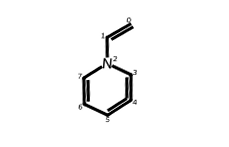 C=CN1C=C=CC=C1